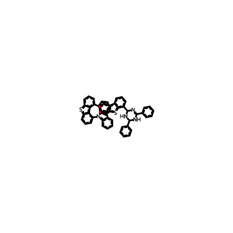 c1ccc(C2=NC(c3cccc4c3sc3ccc(-c5cccc6sc7cccc(-n8c9ccccc9c9ccccc98)c7c56)cc34)NC(c3ccccc3)N2)cc1